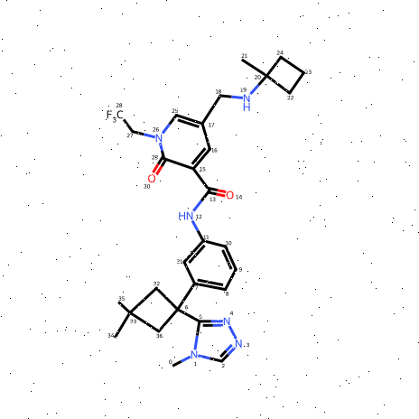 Cn1cnnc1C1(c2cccc(NC(=O)c3cc(CNC4(C)CCC4)cn(CC(F)(F)F)c3=O)c2)CC(C)(C)C1